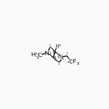 CN1C[C@H]2C1CN2CC(F)(F)F